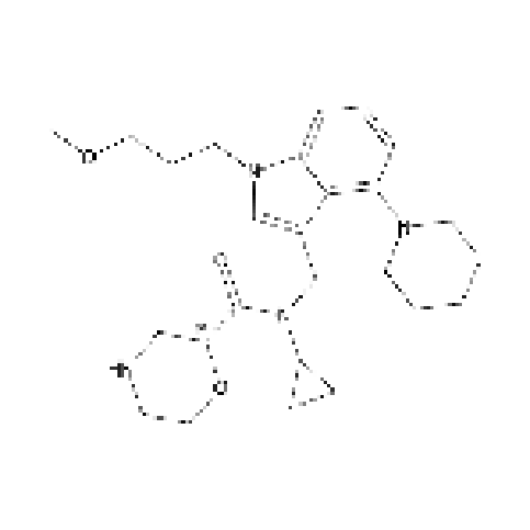 COCCCn1cc(CN(C(=O)[C@H]2CNCCO2)C2CC2)c2c(N3CCCCC3)cccc21